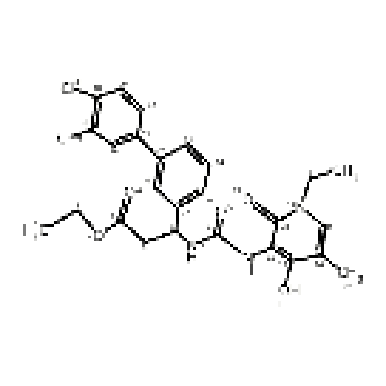 CCOC(=O)CC(NC(=O)Nc1c(O)c(C)cn(CC)c1=O)c1cccc(-c2ccc(Cl)c(Cl)c2)c1